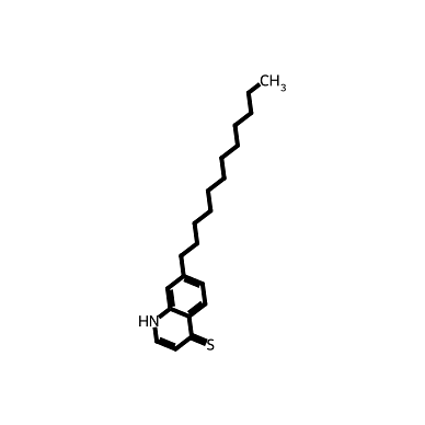 CCCCCCCCCCCCc1ccc2c(=S)cc[nH]c2c1